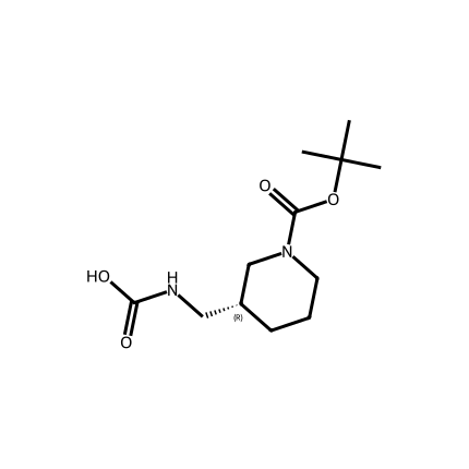 CC(C)(C)OC(=O)N1CCC[C@H](CNC(=O)O)C1